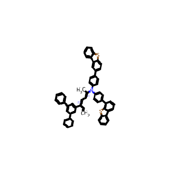 C=C/C(=C\C=C(/C)N(c1ccc(-c2ccc3sc4ccccc4c3c2)cc1)c1ccc(-c2cccc3c2sc2ccccc23)cc1)c1cc(-c2ccccc2)cc(-c2ccccc2)c1